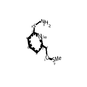 CSOCc1cccc(SN)n1